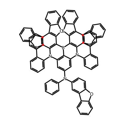 c1ccc(-c2ccccc2N2c3cc(N(c4ccccc4)c4ccc5oc6ccccc6c5c4)cc4c3B(c3c2c2oc5ccccc5c2c2c3oc3ccccc32)c2c(c3oc5ccccc5c3c3c2sc2ccccc23)N4c2ccccc2-c2ccccc2)cc1